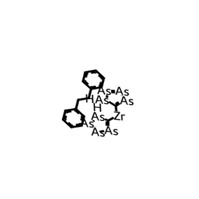 [As]1=[As][AsH][C]([Zr][C]2=[As][As]=[As][AsH]2)=[As]1.c1ccc(CCc2ccccc2)cc1